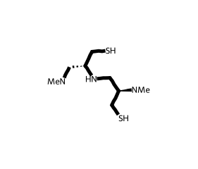 CNC[C@H](CS)NC[C@H](CS)NC